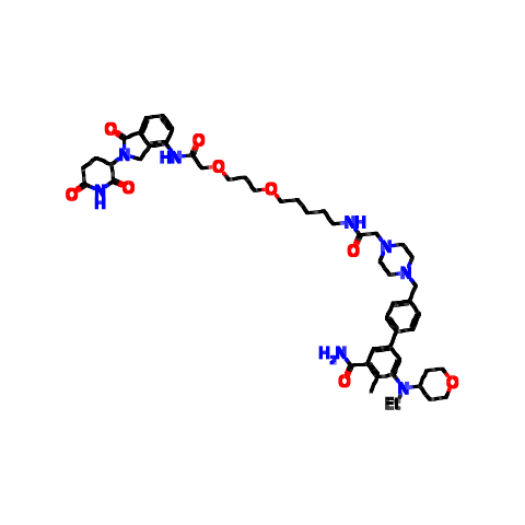 CCN(c1cc(-c2ccc(CN3CCN(CC(=O)NCCCCCOCCCOCC(=O)Nc4cccc5c4CN(C4CCC(=O)NC4=O)C5=O)CC3)cc2)cc(C(N)=O)c1C)C1CCOCC1